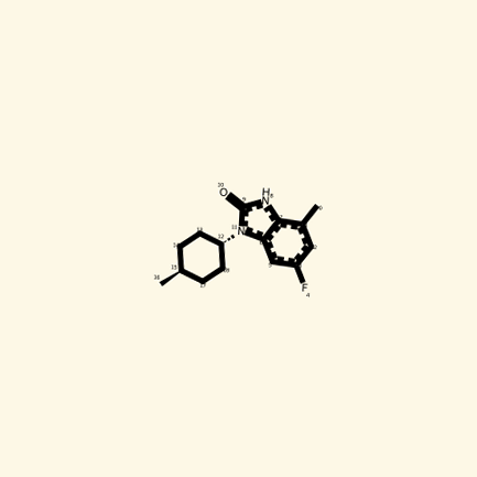 Cc1cc(F)cc2c1[nH]c(=O)n2[C@H]1CC[C@H](C)CC1